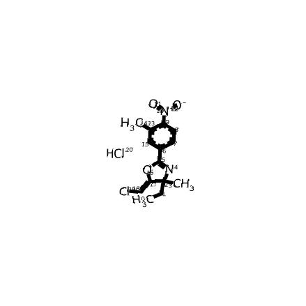 CCC1(C)N=C(c2ccc([N+](=O)[O-])c(C)c2)OC1=CCl.Cl